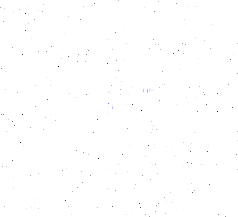 Cc1ccc(S(=O)(=O)N(CC2CCOCC2)C2CCNCC2)cc1